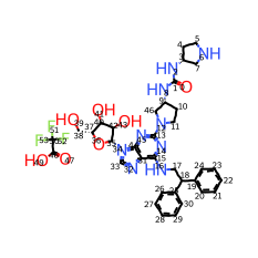 O=C(N[C@@H]1CCNC1)N[C@@H]1CCN(c2nc(NCC(c3ccccc3)c3ccccc3)c3ncn([C@@H]4O[C@H](CO)[C@@H](O)[C@H]4O)c3n2)C1.O=C(O)C(F)(F)F